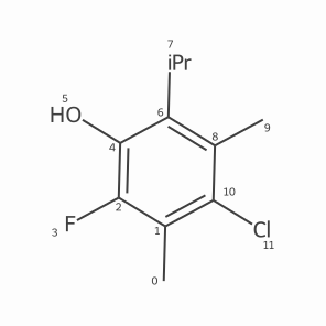 Cc1c(F)c(O)c(C(C)C)c(C)c1Cl